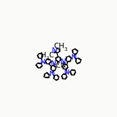 Cc1ccc(-c2cc(-n3c4ccc(N(c5ccccc5)c5ccccc5)cc4c4cc(N(c5ccccc5)c5ccccc5)ccc43)c(C#N)c(-n3c4ccc(N(c5ccccc5)c5ccccc5)cc4c4cc(N(c5ccccc5)c5ccccc5)ccc43)c2)c(C)n1